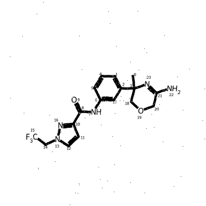 CC1(c2cccc(NC(=O)c3ccn(CC(F)(F)F)n3)c2)COCC(N)=N1